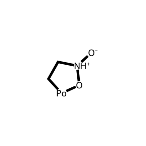 [O-][NH+]1C[CH2][Po][O]1